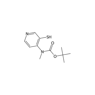 CN(C(=O)OC(C)(C)C)c1ccncc1S